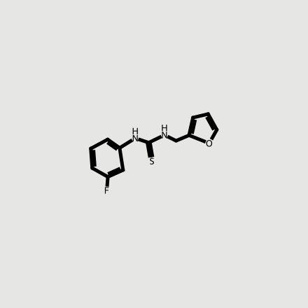 Fc1cccc(NC(=S)NCc2ccco2)c1